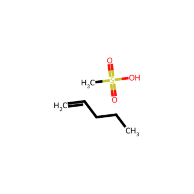 C=CCCC.CS(=O)(=O)O